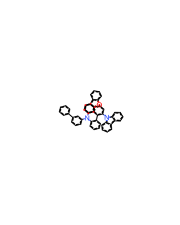 c1ccc(-c2cccc(N(c3ccc4c(c3)oc3ccccc34)c3ccccc3-c3c(-n4c5ccccc5c5ccccc54)ccc4ccccc34)c2)cc1